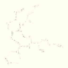 C=N/C=C(C=O)\C=N/CN(C)Cc1nc2c(N3CCOCC3)nc(-c3ccc(OC)nc3)nc2n1CC